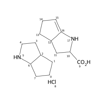 C1CC2CCNC2C1.Cl.O=C(O)C1CC2CCC=C2N1